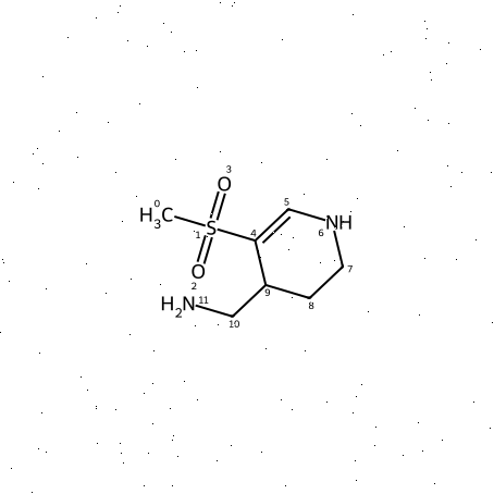 CS(=O)(=O)C1=CNCCC1CN